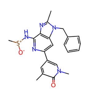 Cc1cc(-c2cc3c(nc(C)n3Cc3ccccc3)c(N[S+](C)[O-])n2)cn(C)c1=O